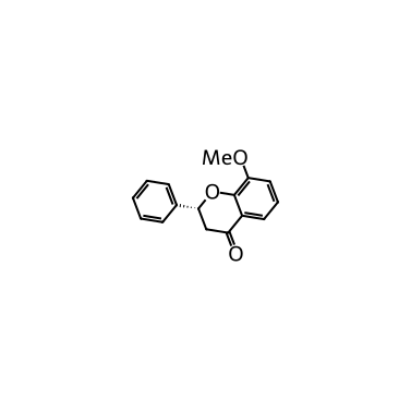 COc1cccc2c1O[C@@H](c1ccccc1)CC2=O